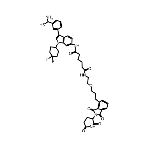 NC(S)c1cccc(-c2cn(C3CCC(F)(F)CC3)c3cc(NC(=O)CCCCC(=O)NCCOCCCc4cccc5c4C(=O)N(C4CCC(=O)NC4=O)C5=O)ccc23)c1